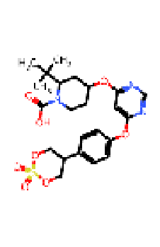 CC(C)(C)C1CC(Oc2cc(Oc3ccc(C4COS(=O)(=O)OC4)cc3)ncn2)CCN1C(=O)O